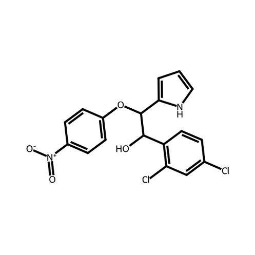 O=[N+]([O-])c1ccc(OC(c2ccc[nH]2)C(O)c2ccc(Cl)cc2Cl)cc1